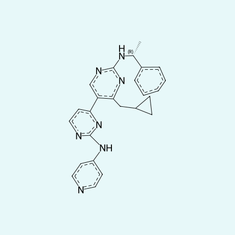 C[C@@H](Nc1ncc(-c2ccnc(Nc3ccncc3)n2)c(CC2CC2)n1)c1ccccc1